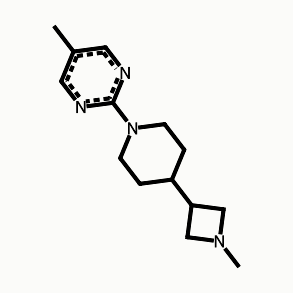 Cc1cnc(N2CCC(C3CN(C)C3)CC2)nc1